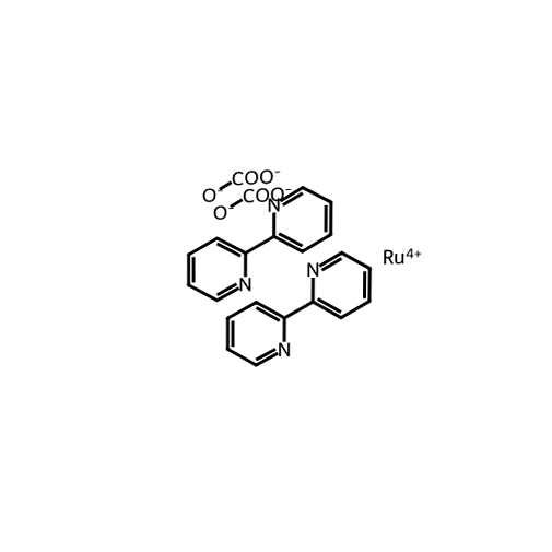 O=C([O-])[O-].O=C([O-])[O-].[Ru+4].c1ccc(-c2ccccn2)nc1.c1ccc(-c2ccccn2)nc1